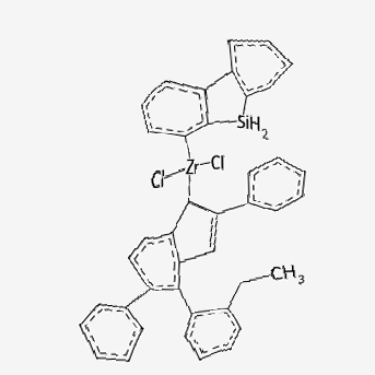 CCc1ccccc1-c1c(-c2ccccc2)ccc2c1C=C(c1ccccc1)[CH]2[Zr]([Cl])([Cl])[c]1cccc2c1[SiH2]c1ccccc1-2